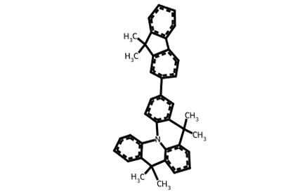 CC1(C)c2ccccc2-c2ccc(-c3ccc4c(c3)C(C)(C)c3cccc5c3N4c3ccccc3C5(C)C)cc21